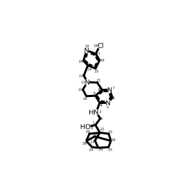 OC(CNc1ncnc2c1CCN(Cc1ccc(Cl)nc1)C2)C12CC3CC(CC(C3)C1)C2